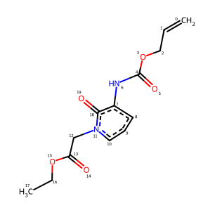 C=CCOC(=O)Nc1cccn(CC(=O)OCC)c1=O